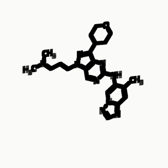 Cc1cc2ncnn2cc1Nc1ncc2c(n1)c(C1CCOCC1)nn2CCCN(C)C